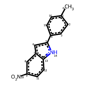 Cc1ccc(-c2cc3cc([N+](=O)[O-])ccc3[nH]2)cc1